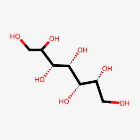 OCC(O)[C@@H](O)[C@H](O)[C@@H](O)[C@H](O)CO